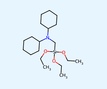 CCO[Si](CN(C1CCCCC1)C1CCCCC1)(OCC)OCC